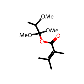 COC(C)C(OC)(OC)OC(=O)C(C)=C(C)C